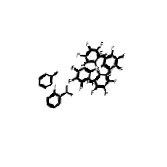 CC(C)c1ccccc1I.Cc1ccccc1.Fc1c(F)c(F)c([B-](c2c(F)c(F)c(F)c(F)c2F)(c2c(F)c(F)c(F)c(F)c2F)c2c(F)c(F)c(F)c(F)c2F)c(F)c1F